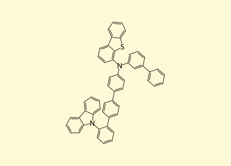 c1ccc(-c2cccc(N(c3ccc(-c4ccc(-c5ccccc5-n5c6ccccc6c6ccccc65)cc4)cc3)c3cccc4c3sc3ccccc34)c2)cc1